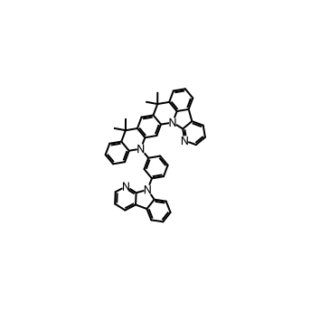 CC1(C)c2ccccc2N(c2cccc(-n3c4ccccc4c4cccnc43)c2)c2cc3c(cc21)C(C)(C)c1cccc2c4cccnc4n-3c12